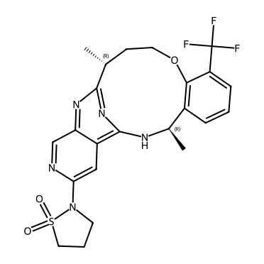 C[C@@H]1CCOc2c(cccc2C(F)(F)F)[C@@H](C)Nc2nc1nc1cnc(N3CCCS3(=O)=O)cc21